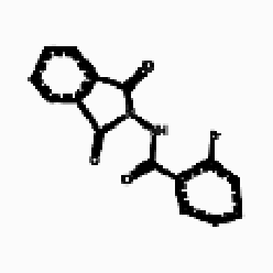 O=C(NN1C(=O)c2ccccc2C1=O)c1ccccc1Br